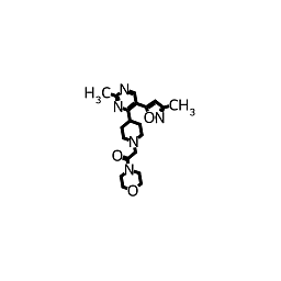 Cc1cc(-c2cnc(C)nc2C2CCN(CC(=O)N3CCOCC3)CC2)on1